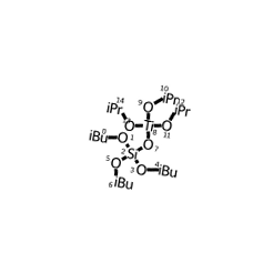 CCC(C)O[Si](OC(C)CC)(OC(C)CC)[O][Ti]([O]C(C)C)([O]C(C)C)[O]C(C)C